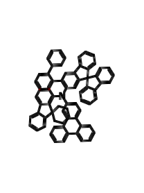 c1ccc(-c2ccccc2-c2cc3c(cc2N(c2ccc4c5ccccc5c5ccccc5c4c2)c2cccc4c2C2(CCCCC2)c2ccccc2-4)C2(c4ccccc4-c4ccccc42)c2ccccc2-3)cc1